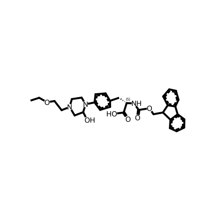 CCOCCN1CCN(c2ccc(C[C@H](NC(=O)OCC3c4ccccc4-c4ccccc43)C(=O)O)cc2)C(O)C1